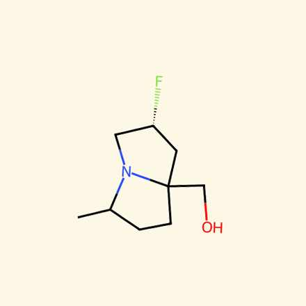 CC1CCC2(CO)C[C@@H](F)CN12